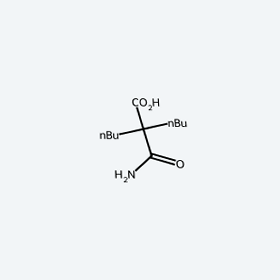 CCCCC(CCCC)(C(N)=O)C(=O)O